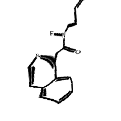 C=CCN(F)C(=O)c1nccc2ccccc12